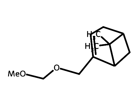 COCOCC1=CCC2CC1C2(C)C